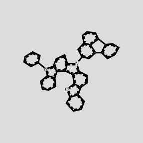 c1ccc(-n2c3ccccc3c3c4c5c6oc7ccccc7c6ccc5n(-c5cc6c7c(cccc7c5)-c5ccccc5-6)c4ccc32)cc1